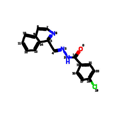 O=C(N/N=C/c1nccc2ccccc12)c1ccc(Cl)cc1